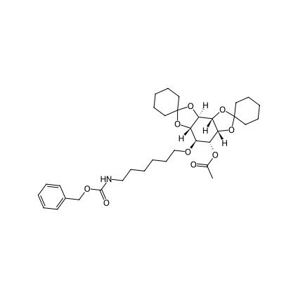 CC(=O)O[C@@H]1[C@@H](OCCCCCCNC(=O)OCc2ccccc2)[C@@H]2OC3(CCCCC3)O[C@H]2[C@@H]2OC3(CCCCC3)O[C@H]12